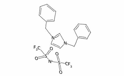 O=S(=O)([N-]S(=O)(=O)C(F)(F)F)C(F)(F)F.c1ccc(Cn2cc[n+](Cc3ccccc3)c2)cc1